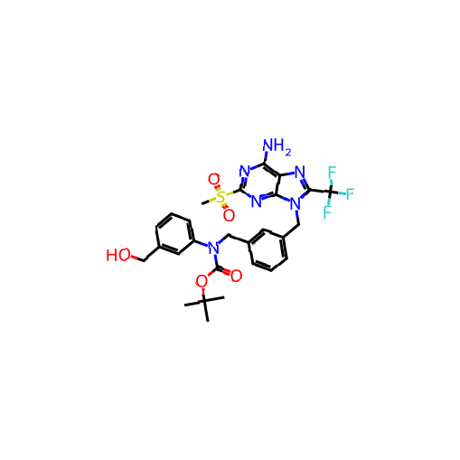 CC(C)(C)OC(=O)N(Cc1cccc(Cn2c(C(F)(F)F)nc3c(N)nc(S(C)(=O)=O)nc32)c1)c1cccc(CO)c1